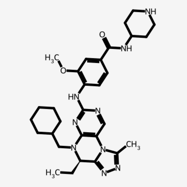 CC[C@@H]1c2nnc(C)n2-c2cnc(Nc3ccc(C(=O)NC4CCNCC4)cc3OC)nc2N1CC1CCCCC1